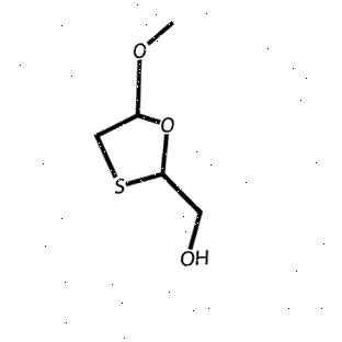 COC1CSC(CO)O1